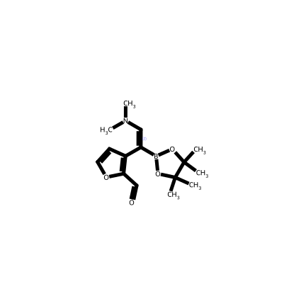 CN(C)/C=C(/B1OC(C)(C)C(C)(C)O1)c1ccoc1C=O